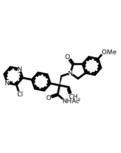 C=C[C@](CN1Cc2ccc(OC)cc2C1=O)(C(=O)NC(C)=O)c1ccc(-c2nccnc2Cl)cc1